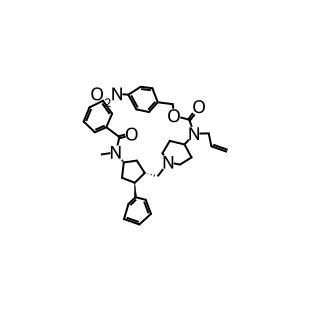 C=CCN(C(=O)OCc1ccc([N+](=O)[O-])cc1)C1CCN(C[C@H]2C[C@@H](N(C)C(=O)c3ccccc3)C[C@@H]2c2ccccc2)CC1